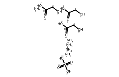 N.N.N.N.N.O=C(O)CO.O=C(O)CO.O=C(O)CO.O=S(=O)(O)O